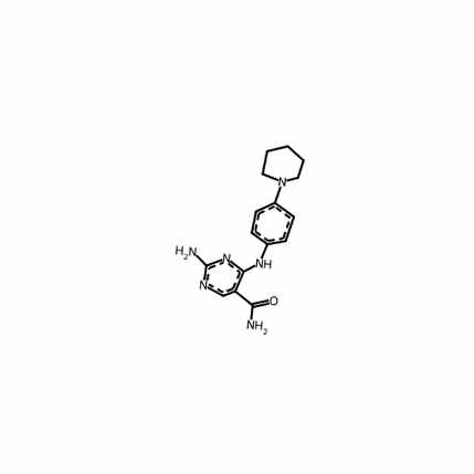 NC(=O)c1cnc(N)nc1Nc1ccc(N2CCCCC2)cc1